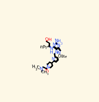 CCC[C@@H](CCO)Nc1nc(N)nc2cnn(Cc3nc(C4CCN(C(=O)CN(C)C)CC4)ccc3OC)c12